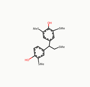 CSCC(c1ccc(O)c(SC)c1)c1cc(SC)c(O)c(SC)c1